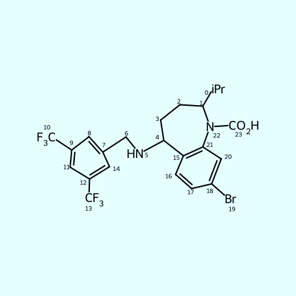 CC(C)C1CCC(NCc2cc(C(F)(F)F)cc(C(F)(F)F)c2)c2ccc(Br)cc2N1C(=O)O